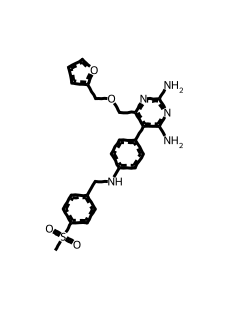 CS(=O)(=O)c1ccc(CNc2ccc(-c3c(N)nc(N)nc3COCc3ccco3)cc2)cc1